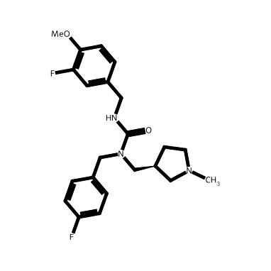 COc1ccc(CNC(=O)N(Cc2ccc(F)cc2)C[C@H]2CCN(C)C2)cc1F